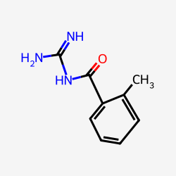 Cc1ccccc1C(=O)NC(=N)N